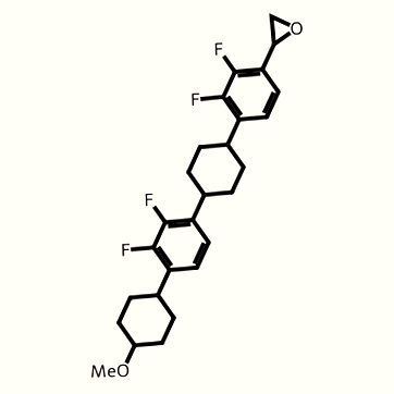 COC1CCC(c2ccc(C3CCC(c4ccc(C5CO5)c(F)c4F)CC3)c(F)c2F)CC1